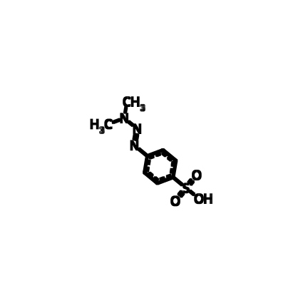 CN(C)N=Nc1ccc(S(=O)(=O)O)cc1